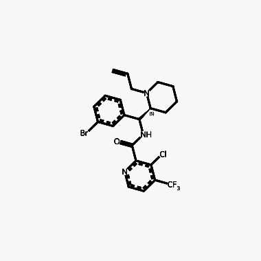 C=CCN1CCCC[C@H]1C(NC(=O)c1nccc(C(F)(F)F)c1Cl)c1cccc(Br)c1